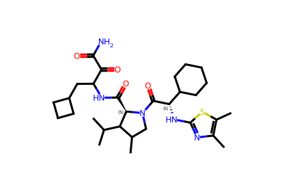 Cc1nc(N[C@H](C(=O)N2CC(C)C(C(C)C)[C@H]2C(=O)NC(CC2CCC2)C(=O)C(N)=O)C2CCCCC2)sc1C